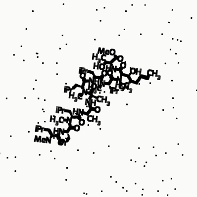 C/C=C/C[C@@H](C)[C@@H](O)[C@@H](C(=O)N[C@H](C(=O)OC)[C@@H](C)O)N(C)C(=O)[C@H](C(C)C)N(C)C(=O)[C@H](CC(C)C)NC(=O)[C@H](CC(C)C)N(C)C(=O)[C@@H](C)NC(=O)[C@H](C)NC(=O)[C@H](CC(C)C)N(C)C(=O)[C@H](CC(C)C)NC(=O)[C@H](CC(C)C)NC